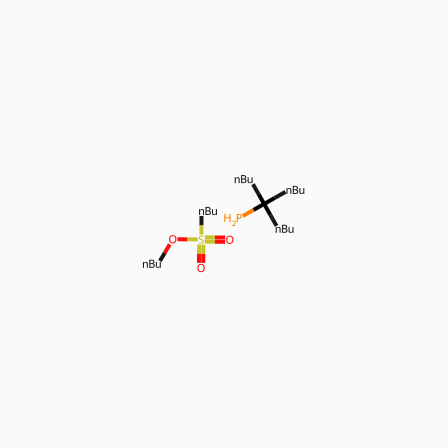 CCCCC(P)(CCCC)CCCC.CCCCOS(=O)(=O)CCCC